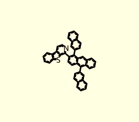 c1ccc2cc(-c3c(-c4nccc5c4sc4ccccc45)ccc4c(-c5ccc6ccccc6c5)c5ccccc5cc34)ccc2c1